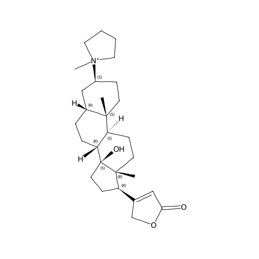 C[C@]12CC[C@H]([N+]3(C)CCCC3)C[C@H]1CC[C@@H]1[C@@H]2CC[C@]2(C)[C@@H](C3=CC(=O)OC3)CC[C@]12O